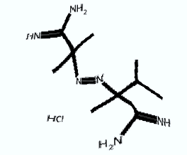 CC(C)C(C)(N=NC(C)(C)C(=N)N)C(=N)N.Cl